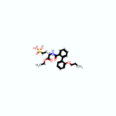 CCCOc1ccccc1-c1ccccc1C(=O)N[C@@H](CCS(=O)(=O)O)C(=O)OCC